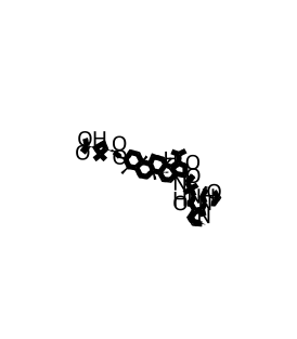 CC(C)C1=C2[C@H]3CCC4[C@@]5(C)CC[C@H](OC(=O)[C@H]6C[C@@H](C(=O)O)C6(C)C)[C@H](C)C5CC[C@@]4(C)[C@]3(C)CC[C@@]2(NC(=O)C(C)(C)NC(=O)c2cccnc2N2CCOCC2)CC1=O